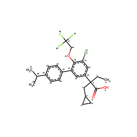 CCC(CC1CC1)(C(=O)O)c1cc(Cl)c(OCC(F)(F)F)c(-c2ccc(C(C)C)cc2)c1